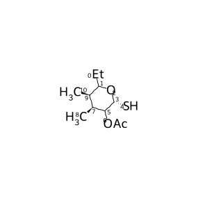 CCC1O[C@H](S)C(OC(C)=O)[C@@H](C)[C@H]1C